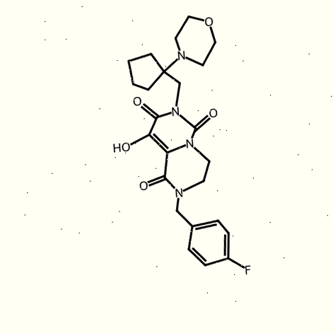 O=C1c2c(O)c(=O)n(CC3(N4CCOCC4)CCCC3)c(=O)n2CCN1Cc1ccc(F)cc1